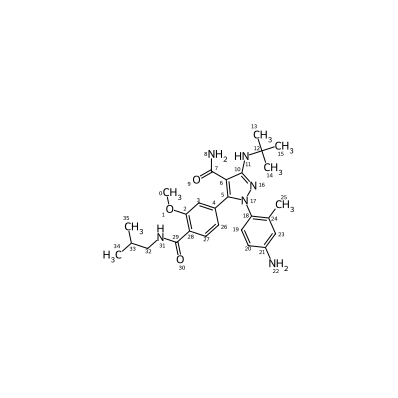 COc1cc(-c2c(C(N)=O)c(NC(C)(C)C)nn2-c2ccc(N)cc2C)ccc1C(=O)NCC(C)C